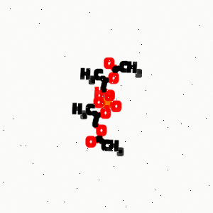 CC(=O)OCC(C)OP(=O)(O)OCC(C)OC(C)=O